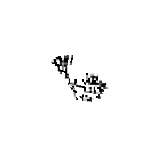 CC(=O)NCCN(CCCCc1ccc2c(n1)NCCC2)CCC(Nc1cc(C(C)(C)C)ncn1)C(=O)O